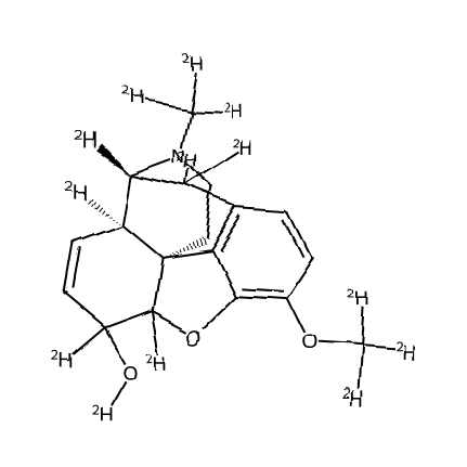 [2H]OC1([2H])C=C[C@]2([2H])[C@@]34CCN(C([2H])([2H])[2H])[C@]2([2H])C([2H])([2H])c2ccc(OC([2H])([2H])[2H])c(c23)OC14[2H]